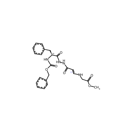 COC(=O)CN/C=C/C(=O)NNC(=O)[C@H](Cc1ccccc1)NC(=O)OCc1ccccc1